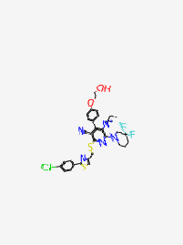 [C-]#[N+]c1c(N2CCCC(F)(F)C2)nc(SCc2csc(-c3ccc(Cl)cc3)n2)c(C#N)c1-c1ccc(OCCO)cc1